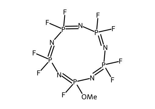 COP1(F)=NP(F)(F)=NP(F)(F)=NP(F)(F)=NP(F)(F)=N1